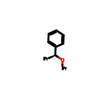 CC(C)O[C@H](c1ccccc1)C(C)C